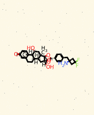 C[C@]12C=CC(=O)C=C1CC[C@@H]1[C@@H]2[C@@H](O)C[C@@]2(C)[C@H]1C[C@H]1O[C@@H](c3ccc(CC4(N)CC(F)(F)C4)cc3)O[C@]12C(=O)CO